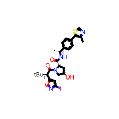 Cc1ncsc1-c1ccc([C@@H](C)NC(=O)[C@@H]2C[C@@H](O)CN2C(=O)[C@@H](c2cc(I)no2)C(C)(C)C)cc1